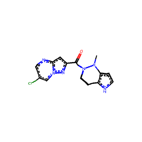 CN1c2cc[nH]c2CCN1C(=O)c1cc2ncc(Cl)cn2n1